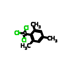 Cc1cc(C)c([Si](Cl)(Cl)Cl)c(C)c1